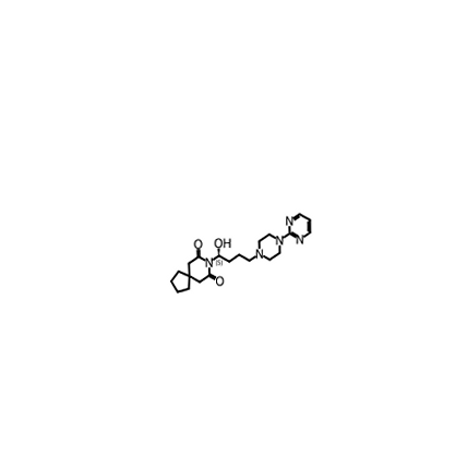 O=C1CC2(CCCC2)CC(=O)N1[C@@H](O)CCCN1CCN(c2ncccn2)CC1